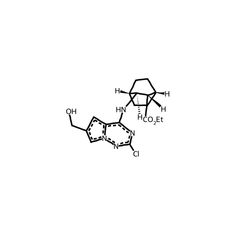 CCOC(=O)[C@H]1[C@H]2CC[C@H](CC2)[C@@H]1Nc1nc(Cl)nn2cc(CO)cc12